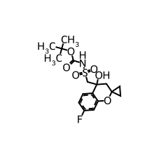 CC(C)(C)OC(=O)NS(=O)(=O)CC1(O)CC2(CC2)Oc2cc(F)ccc21